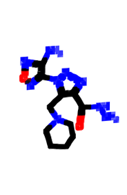 NNC(=O)c1nnn(-c2nonc2N)c1CN1CCCCC1